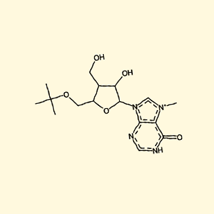 C[n+]1cn(C2OC(COC(C)(C)C)C(CO)C2O)c2nc[nH]c(=O)c21